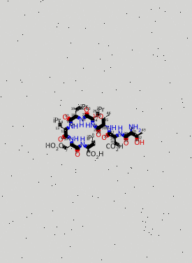 CC(C)C[C@H](NC(=O)[C@H](CC(=O)O)NC(=O)[C@H](CC(C)C)NC(=O)[C@H](CC(C)C)NC(=O)[C@H](CC(C)C)NC(=O)[C@@H](NC(=O)[C@H](CC(=O)O)NC(=O)[C@@H](N)[C@@H](C)O)[C@@H](C)O)C(=O)O